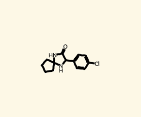 O=C1NC2(CCCC2)NC1c1ccc(Cl)cc1